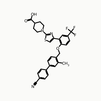 Cc1cc(-c2ccc(C#N)cc2)ccc1COc1ccc(C(F)(F)F)cc1-c1csc(N2CCC(C(=O)O)CC2)n1